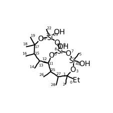 CCC1(C)O[Si](C)(O)O[Si]2(O)OC(C)(C(C)C(C)C(C)(C)O[Si](C)(O)O2)C(C)C1C